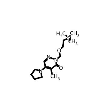 Cc1c(N2CCCC2)cnn(COCC[Si](C)(C)C)c1=O